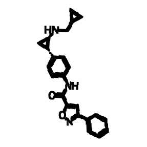 O=C(Nc1ccc([C@@H]2C[C@H]2NCC2CC2)cc1)c1cc(-c2ccccc2)no1